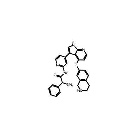 NC(C(=O)Nc1cc(-c2c[nH]c3nccc(Oc4ccc5c(c4)CNCC5)c23)ccn1)c1ccccc1